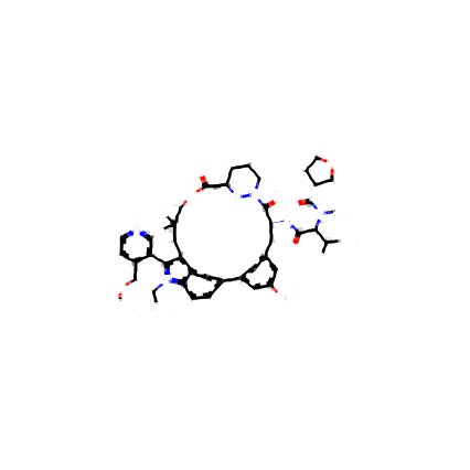 CCn1c(-c2cnccc2COC)c2c3cc(ccc31)-c1cc(O)cc(c1)C[C@H](NC(=O)C(C(C)C)N(C)C(=O)[C@@H]1CCOC1)C(=O)N1CCC[C@H](N1)C(=O)OCC(C)(C)C2